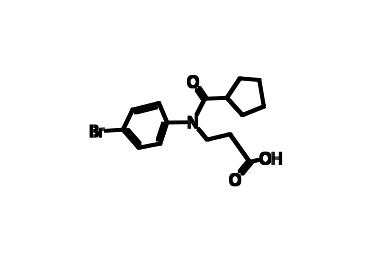 O=C(O)CCN(C(=O)C1CCCC1)c1ccc(Br)cc1